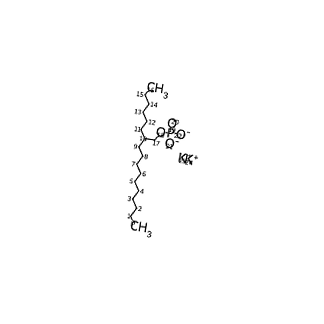 CCCCCCCCCCC(CCCCCC)COP(=O)([O-])[O-].[K+].[K+]